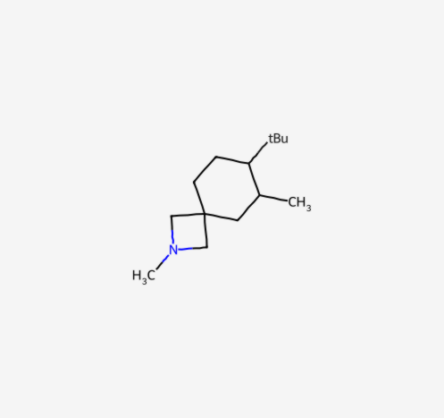 CC1CC2(CCC1C(C)(C)C)CN(C)C2